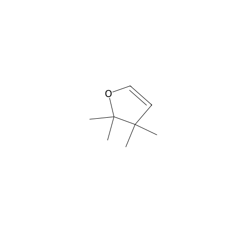 CC1(C)C=COC1(C)C